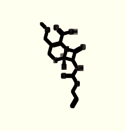 C=CCOC(=O)NC1C(=O)N2C(C(=O)O)=C(COC)CS[C@@H]12